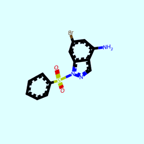 Nc1cc(Br)cc2c1cnn2S(=O)(=O)c1ccccc1